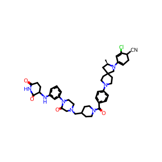 C[C@@H]1CC2(CCN(c3ccc(C(=O)N4CCC(CN5CCN(c6cccc(NC7CCC(=O)NC7=O)c6)C(=O)C5)CC4)cc3)CC2)CN1C1=CCC(C#N)C(Cl)=C1